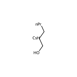 CCCCCCO.[CsH]